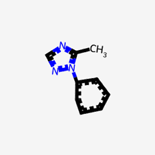 Cc1ncnn1-c1ccccc1